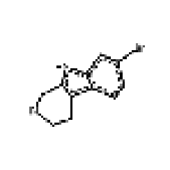 Brc1ccc2c3c([nH]c2c1)CNCC3